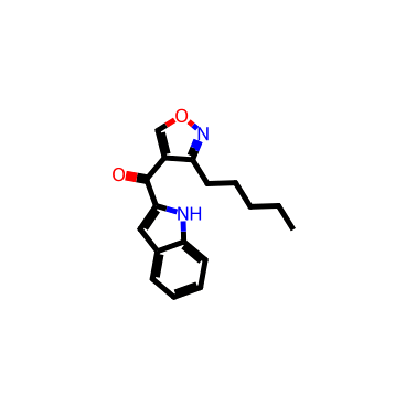 CCCCCc1nocc1C(=O)c1cc2ccccc2[nH]1